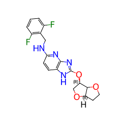 Fc1cccc(F)c1CNc1ccc2[nH]c(O[C@@H]3CO[C@@H]4CCOC43)nc2n1